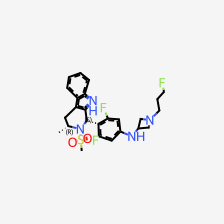 C[C@@H]1Cc2c([nH]c3ccccc23)[C@H](c2c(F)cc(NC3CN(CCCF)C3)cc2F)N1S(C)(=O)=O